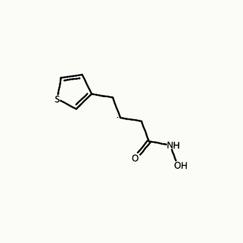 O=C(C[CH]Cc1ccsc1)NO